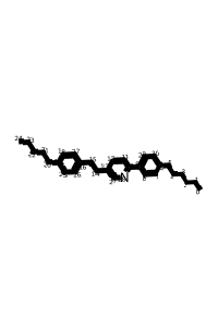 CCCCCCc1ccc(-c2ccc(CCc3ccc(CCCCC)cc3)cn2)cc1